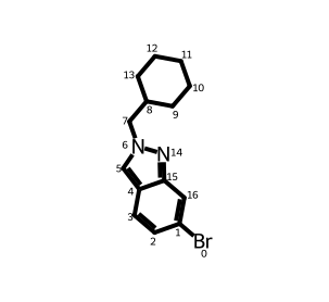 Brc1ccc2cn(CC3CCCCC3)nc2c1